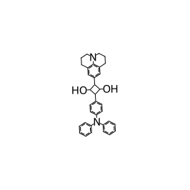 OC1C(c2ccc(N(c3ccccc3)c3ccccc3)cc2)C(O)C1c1cc2c3c(c1)CCCN3CCC2